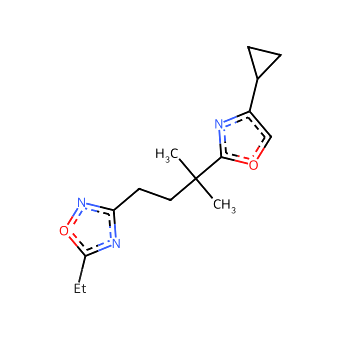 CCc1nc(CCC(C)(C)c2nc(C3CC3)co2)no1